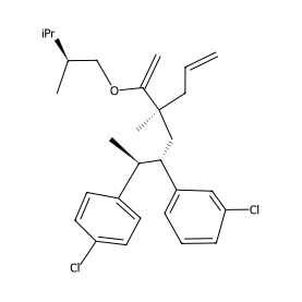 C=CC[C@@](C)(C[C@H](c1cccc(Cl)c1)[C@H](C)c1ccc(Cl)cc1)C(=C)OC[C@@H](C)C(C)C